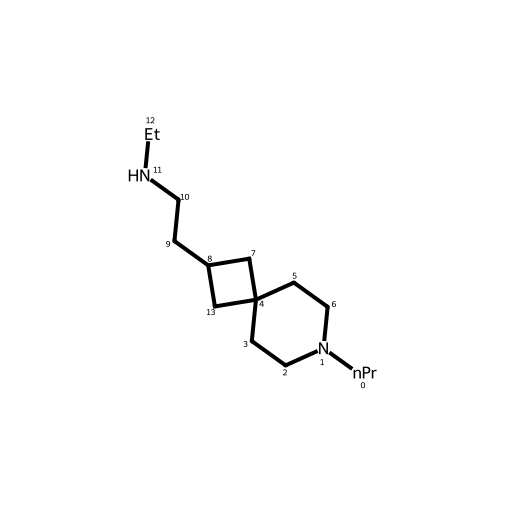 CCCN1CCC2(CC1)CC(CCNCC)C2